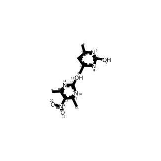 Cc1cc(C)nc(O)n1.Cc1nc(O)nc(C)c1[N+](=O)[O-]